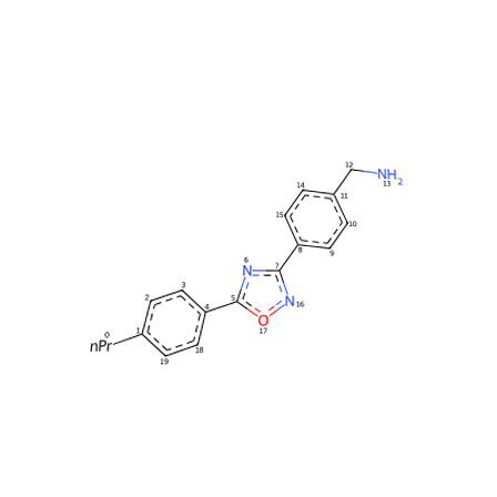 CCCc1ccc(-c2nc(-c3ccc(CN)cc3)no2)cc1